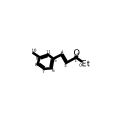 CCC(=O)C=Cc1cccc(C)c1